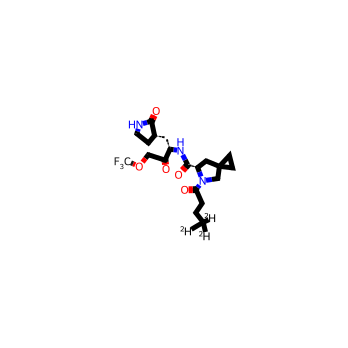 [2H]C([2H])([2H])CCC(=O)N1CC2(CC2)C[C@H]1C(=O)N[C@@H](C[C@@H]1CCNC1=O)C(=O)COC(F)(F)F